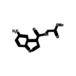 COC(=O)CNC(=O)c1ccnc2ccc(C)cc12